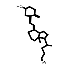 C=C1CCC(O)C/C1=C/C=C1\CCCC2(C)C1CCC2C(C)CCCC(C)C